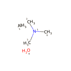 CN(C)C.O.[AlH3]